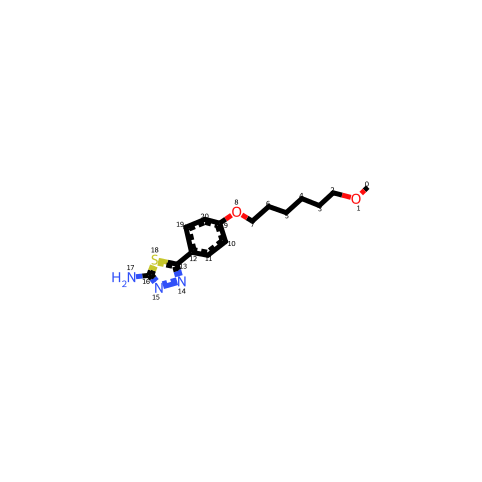 COCCCCCCOc1ccc(-c2nnc(N)s2)cc1